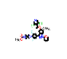 COc1cc2c(cc1OC(C)c1c(Cl)cncc1Cl)c(-c1cc(F)c(N3CC4(CN(C(=O)OC(C)(C)C)C4)C3)c(F)c1)nn2C1CCCCO1